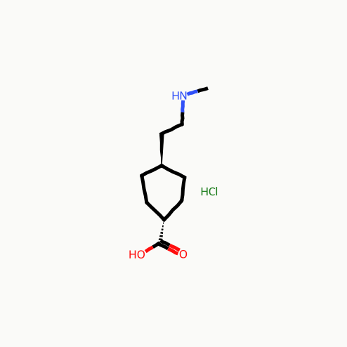 CNCC[C@H]1CC[C@H](C(=O)O)CC1.Cl